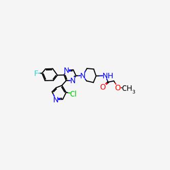 COCC(=O)NC1CCN(c2cnc(-c3ccc(F)cc3)c(-c3ccncc3Cl)n2)CC1